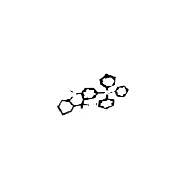 CC1(C)c2cc([Si](c3ccccc3)(c3ccccc3)c3ccccc3)ccc2N(N)C2(C)CCCCC12